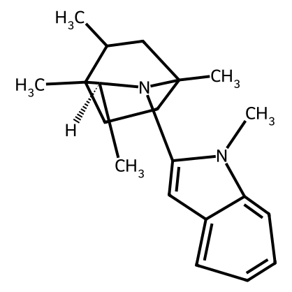 CC1CC2(C)CCC1(C)[C@H](C)N2c1cc2ccccc2n1C